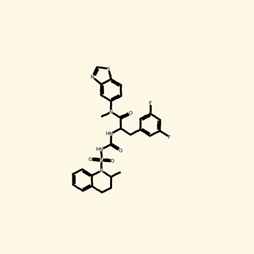 CC1CCc2ccccc2N1S(=O)(=O)NC(=O)NC(Cc1cc(F)cc(F)c1)C(=O)N(C)c1ccc2scnc2c1